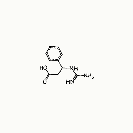 N=C(N)NC(CC(=O)O)c1ccccc1